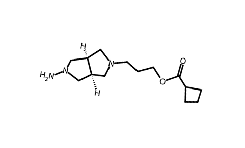 NN1C[C@@H]2CN(CCCOC(=O)C3CCC3)C[C@@H]2C1